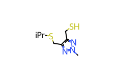 CC(C)SCc1nn(C)nc1CS